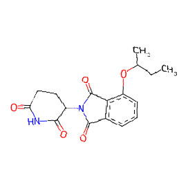 CCC(C)Oc1cccc2c1C(=O)N(C1CCC(=O)NC1=O)C2=O